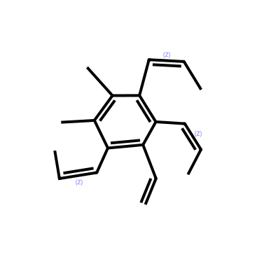 C=Cc1c(/C=C\C)c(C)c(C)c(/C=C\C)c1/C=C\C